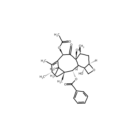 CC(=O)O[C@H]1C(=O)[C@@]2(C)[C@H]([C@H](OC(=O)c3ccccc3)[C@]3(C)C[C@H](C)C(C)=C1C3(C)C)[C@]1(O)CO[C@@H]1C[C@@H]2C